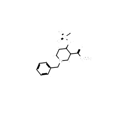 COC(=O)C1CN(Cc2ccccc2)CCC1OS(C)(=O)=O